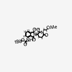 COCCN1C(=O)CCC(N2C(=O)c3cccc(NC(=O)OC(C)(C)C)c3C2=O)C1=O